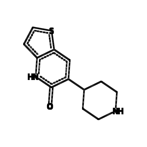 O=c1[nH]c2ccsc2cc1C1CCNCC1